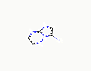 Nc1cnc2nccnn12